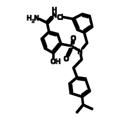 CC(C)c1ccc(CCN(Cc2cccc(Cl)c2)S(=O)(=O)c2cc(C(=N)N)ccc2O)cc1